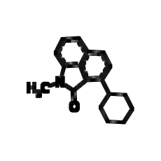 CN1C(=O)c2c(C3CCCCC3)ccc3cccc1c23